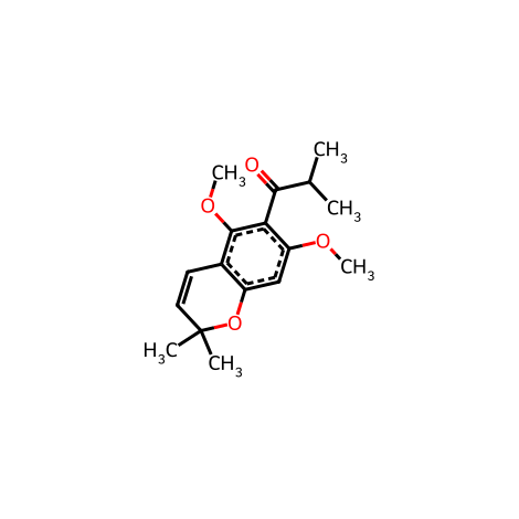 COc1cc2c(c(OC)c1C(=O)C(C)C)C=CC(C)(C)O2